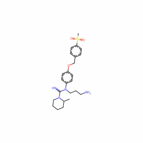 CC1CCCCN1C(=N)N(CCCN)c1ccc(OCc2ccc(S(C)(=O)=O)cc2)cc1